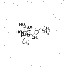 CCCC(=O)NC1[C@H](NO)OC(CO)[C@@H](O)[C@@H]1OC(=O)C(C)c1ccc(CC(C)C)cc1